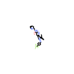 CC(C)C1c2ncc(C(=O)NCCc3ccccn3)cc2CN1Cc1ccc(C(F)(F)F)cc1